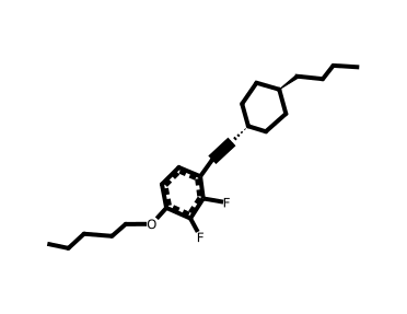 CCCCCOc1ccc(C#C[C@H]2CC[C@H](CCCC)CC2)c(F)c1F